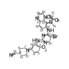 COc1ccc(N2CCC(C#N)CC2)cc1Nc1ncc(Br)c(Nc2ccc3nccnc3c2N(C)S(C)(=O)=O)n1